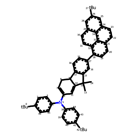 CC(C)(C)c1ccc(N(C2=CCC3C(=C2)C(C)(C)c2cc(-c4ccc5ccc6cc(C(C)(C)C)cc7ccc4c5c67)ccc23)c2ccc(C(C)(C)C)cc2)cc1